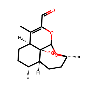 CC1=C(C=O)OC2O[C@]3(C)CC[C@H]4[C@H](C)CC[C@@H]1[C@@]24OO3